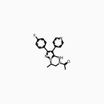 CC(=O)N1CC(C)n2nc(-c3ccc(F)cc3)c(-c3ccncc3)c2N1